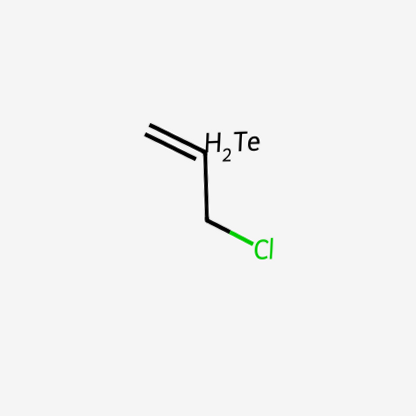 C=CCCl.[TeH2]